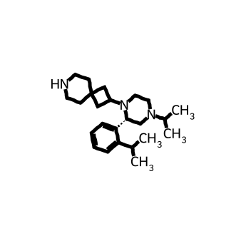 CC(C)c1ccccc1[C@H]1CN(C(C)C)CCN1C1CC2(CCNCC2)C1